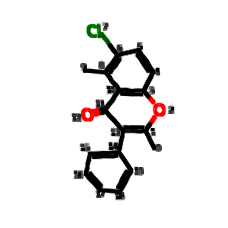 Cc1oc2ccc(Cl)c(C)c2c(=O)c1-c1ccccc1